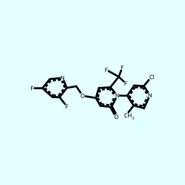 Cc1cnc(Cl)cc1-n1c(C(F)(F)F)cc(OCc2ncc(F)cc2F)cc1=O